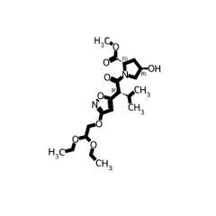 CCOC(COc1cc([C@H](C(=O)N2C[C@H](O)C[C@H]2C(=O)OC)C(C)C)on1)OCC